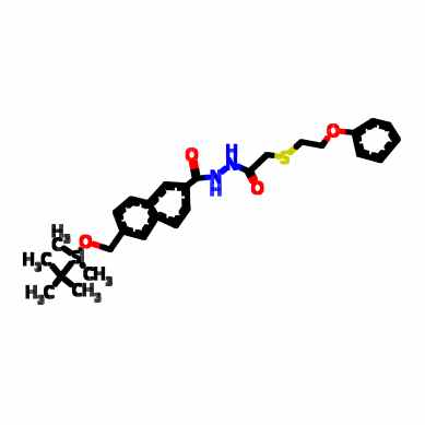 CC(C)(C)[Si](C)(C)OCc1ccc2cc(C(=O)NNC(=O)CSCCOc3ccccc3)ccc2c1